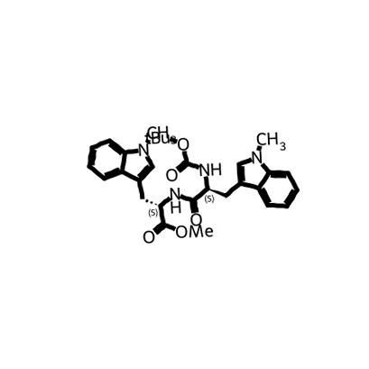 COC(=O)[C@H](Cc1cn(C)c2ccccc12)NC(=O)[C@H](Cc1cn(C)c2ccccc12)NC(=O)OC(C)(C)C